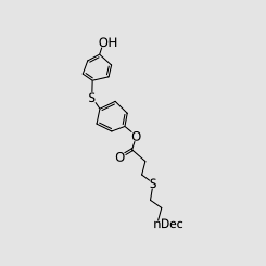 CCCCCCCCCCCCSCCC(=O)Oc1ccc(Sc2ccc(O)cc2)cc1